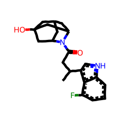 CC(CC(=O)N1C2CC3CC1CC(O)(C3)C2)c1c[nH]c2cccc(F)c12